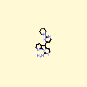 Nc1nccc2c(-c3ccnc(N4CCCCC4)n3)c3cccnc3n12